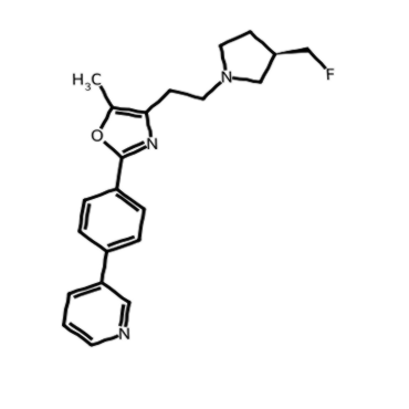 Cc1oc(-c2ccc(-c3cccnc3)cc2)nc1CCN1CC[C@@H](CF)C1